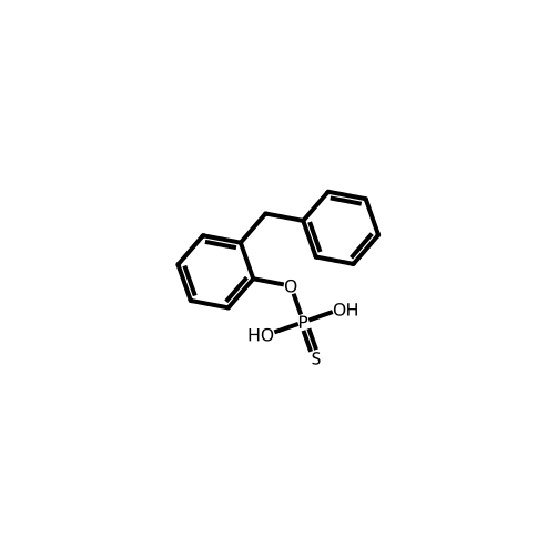 OP(O)(=S)Oc1ccccc1Cc1ccccc1